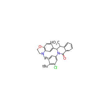 CC(C)N1CCOc2ccc(C3C(C(=O)O)c4ccccc4C(=O)N3c3ccc(C(C)(C)C)c(Cl)c3)cc21